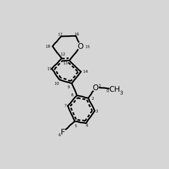 COc1ccc(F)cc1-c1ccc2c(c1)OCCC2